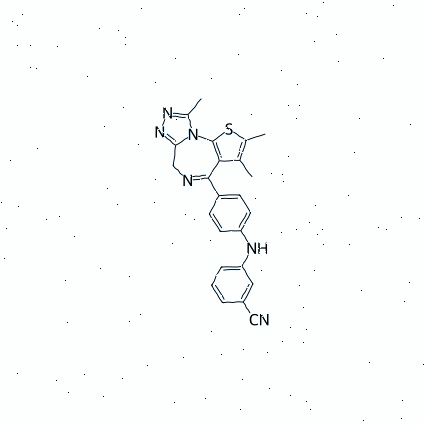 Cc1sc2c(c1C)C(c1ccc(Nc3cccc(C#N)c3)cc1)=NCc1nnc(C)n1-2